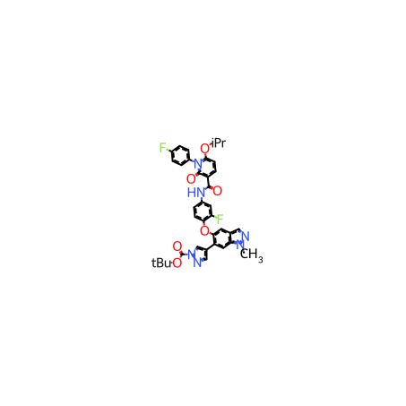 CC(C)Oc1ccc(C(=O)Nc2ccc(Oc3cc4cnn(C)c4cc3-c3cnn(C(=O)OC(C)(C)C)c3)c(F)c2)c(=O)n1-c1ccc(F)cc1